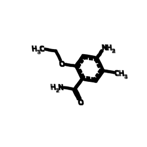 CCOc1cc(N)c(C)cc1C(N)=O